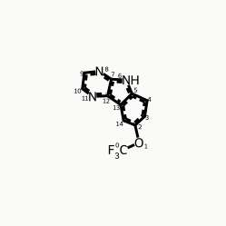 FC(F)(F)Oc1ccc2[nH]c3nccnc3c2c1